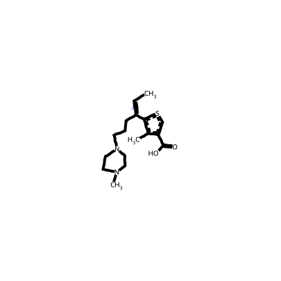 C/C=C(/CCCN1CCN(C)CC1)c1scc(C(=O)O)c1C